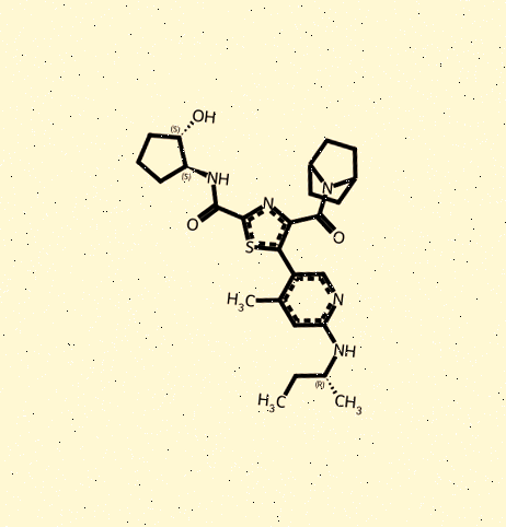 CC[C@@H](C)Nc1cc(C)c(-c2sc(C(=O)N[C@H]3CCC[C@@H]3O)nc2C(=O)N2C3CCC2CC3)cn1